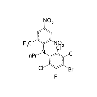 CCCN(c1c([N+](=O)[O-])cc([N+](=O)[O-])cc1C(F)(F)F)c1c(Cl)c(F)c(Br)c(Cl)c1Cl